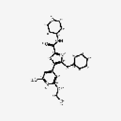 CC(C)(C)c1cc(-c2sc(C(=O)NC3CCOCC3)nc2CC2CCCCC2)cc(OCC(F)(F)F)n1